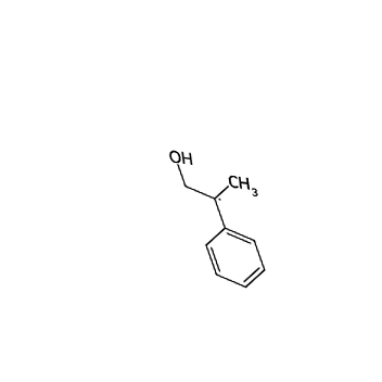 C[C](CO)c1ccccc1